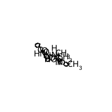 Cc1cccc(Cc2nnc(C(O)[C@@H](NC(=O)Cn3c(=O)c(NC(=O)OCc4ccccc4)cc4ccccc43)C(C)C)o2)c1